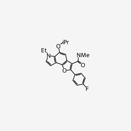 CCn1ccc2c3oc(-c4ccc(F)cc4)c(C(=O)NC)c3cc(OC(C)C)c21